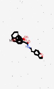 O=C1CC[C@@]2(O)[C@@H]3CCC[C@@]2(C1)c1c(ccc(C(=O)NCCc2ccc4occc4c2)c1O)C3